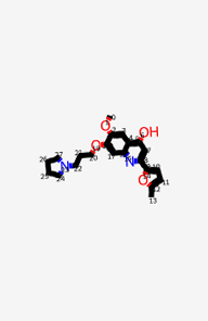 COc1cc2c(O)cc(-c3ccc(C)o3)nc2cc1OCCCN1CCCC1